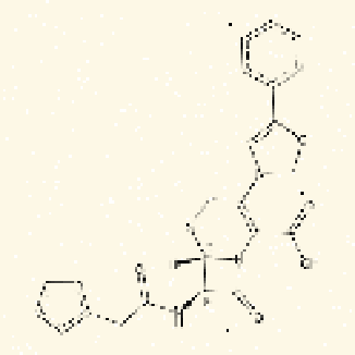 O=C(Cc1cccs1)N[C@@H]1C(=O)N2C(C(=O)O)=C(N3C=C(c4ccccc4)OC3)CS[C@@H]12